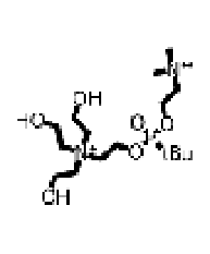 CC(C)(C)P(=O)(OCC[N+](C)(C)C)OCC[N+](CCO)(CCO)CCO